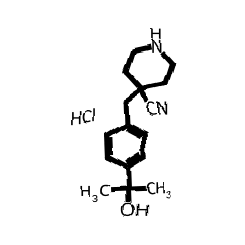 CC(C)(O)c1ccc(CC2(C#N)CCNCC2)cc1.Cl